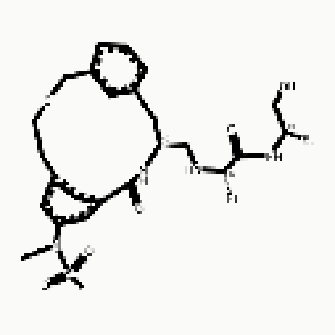 CC[C@H](CO)NC(=O)[C@H](CC)NC[C@@H]1Cc2cccc(c2)CCCCc2cc(cc(N(C)S(C)(=O)=O)c2)C(=O)N1